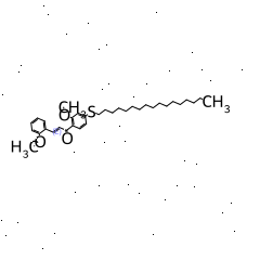 CCCCCCCCCCCCCCCCCSc1ccc(C(=O)/C=C/c2ccccc2OC)c(OC)c1